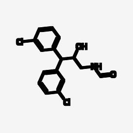 O=CNCC(O)C(c1cccc(Cl)c1)c1cccc(Cl)c1